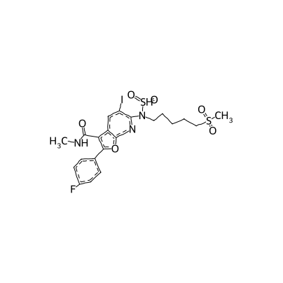 CNC(=O)c1c(-c2ccc(F)cc2)oc2nc(N(CCCCCS(C)(=O)=O)[SH](=O)=O)c(I)cc12